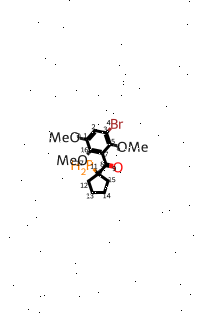 COc1cc(Br)c(OC)c(C(=O)C2(P)CCCC2)c1OC